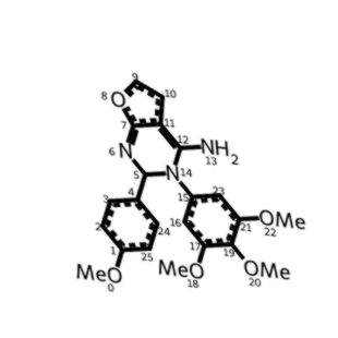 COc1ccc(C2N=c3occc3=C(N)N2c2cc(OC)c(OC)c(OC)c2)cc1